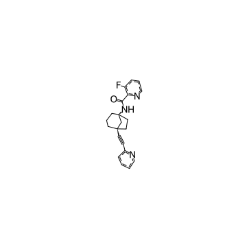 O=C(N[C@@]12CCC[C@@](C#Cc3ccccn3)(CC1)C2)c1ncccc1F